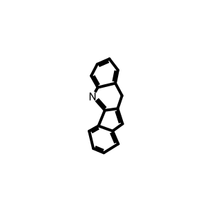 C1=C2Cc3ccccc3N=C2c2ccccc21